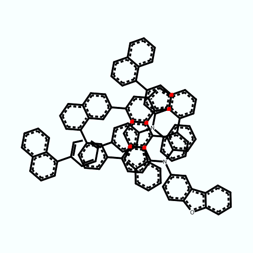 C=C(/C=C\C(=C/C)c1cccc2ccccc12)c1ccc(N(c2cccc(-c3cccc4ccccc34)c2)c2ccccc2-c2cccc3oc4cc(-c5ccc6cccc(-c7cccc(-c8ccc(N(c9ccc%10oc%11ccccc%11c%10c9)c9ccccc9-c9cccc%10oc%11ccccc%11c9%10)cc8)c7)c6c5)ccc4c23)cc1